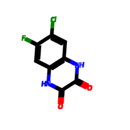 O=c1[nH]c2cc(F)c(Cl)cc2[nH]c1=O